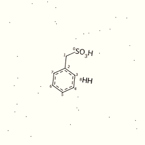 O=S(=O)(O)Cc1ccccc1.[HH]